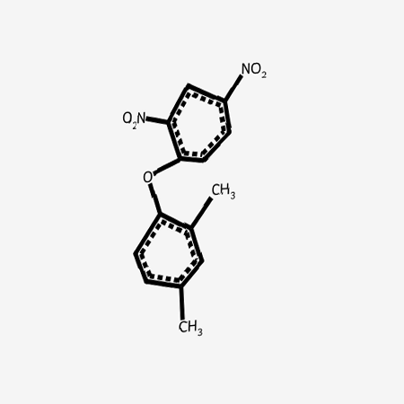 Cc1ccc(Oc2ccc([N+](=O)[O-])cc2[N+](=O)[O-])c(C)c1